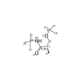 C[C@H](COC(C)(C)C)C(=O)NC(C)(C)C